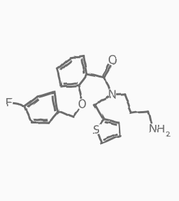 NCCCN(Cc1cccs1)C(=O)c1ccccc1OCc1ccc(F)cc1